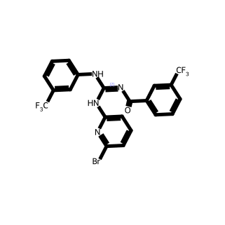 O=C(/N=C(/Nc1cccc(C(F)(F)F)c1)Nc1cccc(Br)n1)c1cccc(C(F)(F)F)c1